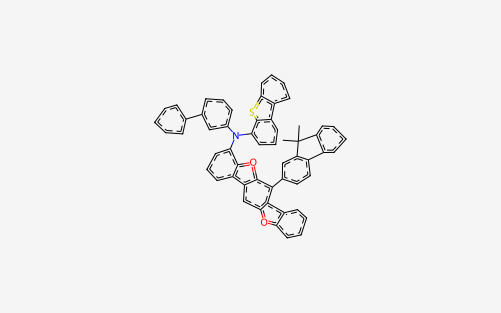 CC1(C)c2ccccc2-c2ccc(-c3c4oc5c(N(c6cccc(-c7ccccc7)c6)c6cccc7c6sc6ccccc67)cccc5c4cc4oc5ccccc5c34)cc21